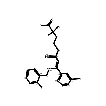 CC(=O)C(C)(C)CCCC(=N)/C=C(\NCc1ccccc1C)c1cccc(C)c1